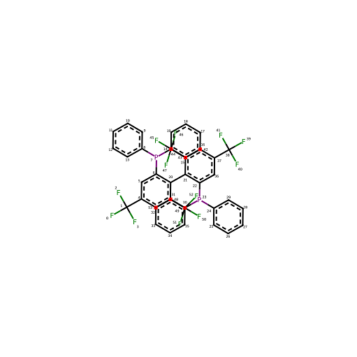 FC(F)(F)c1cc(P(c2ccccc2)c2ccccc2)c(-c2c(P(c3ccccc3)c3ccccc3)cc(C(F)(F)F)cc2C(F)(F)F)c(C(F)(F)F)c1